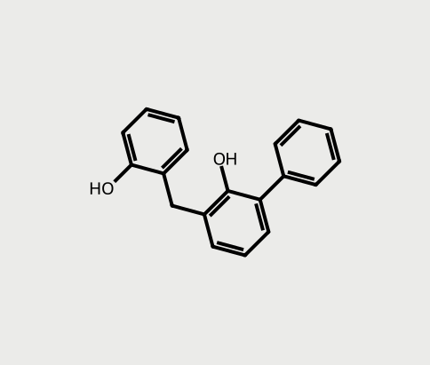 Oc1ccccc1Cc1cccc(-c2ccccc2)c1O